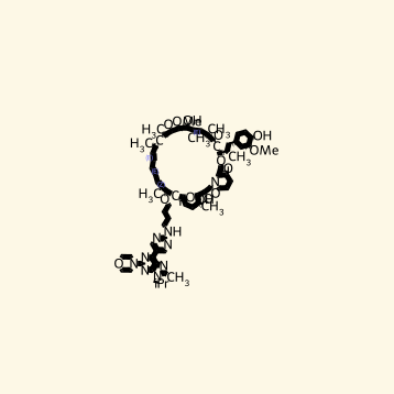 CO[C@@H]1C[C@@H](CC(C)[C@@H]2CC(=O)[C@H](C)/C=C(\C)[C@@H](O)[C@@H](OC)C(=O)[C@H](C)C[C@H](C)/C=C/C=C/C=C(/C)[C@H](OCCCCNc3ncc(-c4nc(N5CCOCC5)nc5c4nc(C)n5C(C)C)cn3)C[C@@H]3CC[C@@H](C)[C@@](O)(O3)C(=O)C(=O)N3CCCC[C@H]3C(=O)O2)CC[C@H]1O